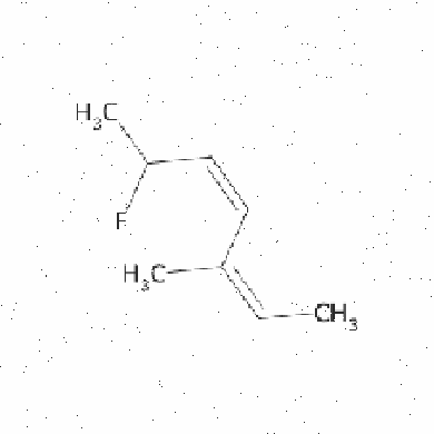 C/C=C(C)\C=C/C(C)F